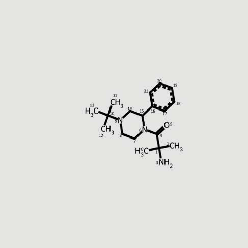 CC(C)(N)C(=O)N1CCN(C(C)(C)C)CC1c1ccccc1